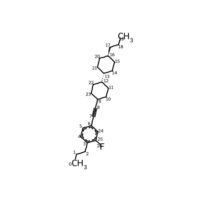 CCCc1ccc(C#CC2CCC([C@H]3CC[C@H](CCC)CC3)CC2)cc1F